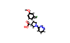 COc1ccc([C@@H]2CN(c3cccnn3)C[C@H]2C(=O)O)c(F)c1